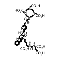 O=C(O)CC[C@H](NC(=O)N[C@@H](CCCCNC(=O)[C@H](Cc1ccc2ccccc2n1)NC(=O)c1ccc(CNC(=O)CN2CCN(CC(=O)O)CCN(CC(=O)O)CCN(CC(=O)O)CC2)cn1)C(=O)O)C(=O)O